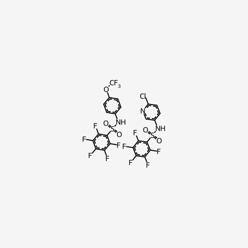 O=S(=O)(Nc1ccc(Cl)nc1)c1c(F)c(F)c(F)c(F)c1F.O=S(=O)(Nc1ccc(OC(F)(F)F)cc1)c1c(F)c(F)c(F)c(F)c1F